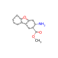 COC(=O)c1cc2c(cc1N)oc1ccccc12